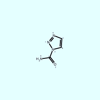 NC(=O)n1[c]cnn1